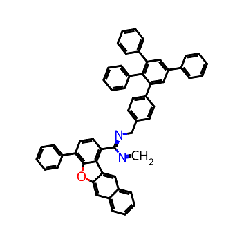 C=N/C(=N\Cc1ccc(-c2cc(-c3ccccc3)cc(-c3ccccc3)c2-c2ccccc2)cc1)c1ccc(-c2ccccc2)c2oc3cc4ccccc4cc3c12